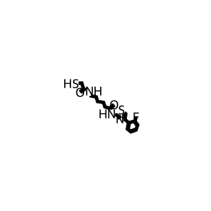 O=C(CS)NCCCCCC(=O)Nc1nc(-c2ccccc2F)cs1